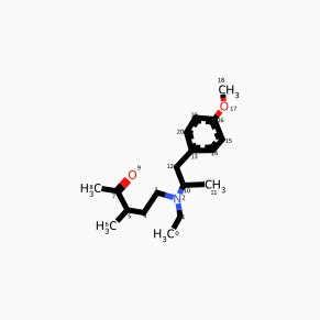 CCN(CCC(C)C(C)=O)C(C)Cc1ccc(OC)cc1